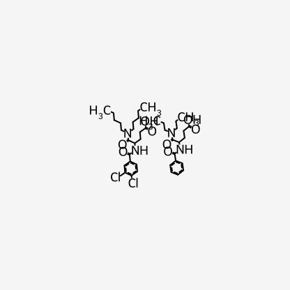 CCCCCN(CCCCC)C(=O)C(CCC(=O)O)NC(=O)c1ccc(Cl)c(Cl)c1.CCCN(CCC)C(=O)C(CCC(=O)O)NC(=O)c1ccccc1